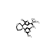 Cc1cc(N2CCCOCC2c2cc(C(=O)N(C)C)sc2Cl)nc(N)n1